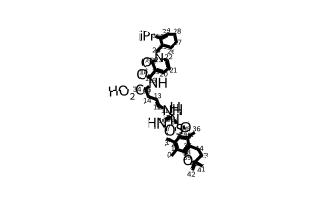 Cc1c(C)c(S(=O)(=O)NC(=N)NCCC[C@H](NC(=O)c2cccn(Cc3ccccc3C(C)C)c2=O)C(=O)O)c(C)c2c1OC(C)(C)CC2